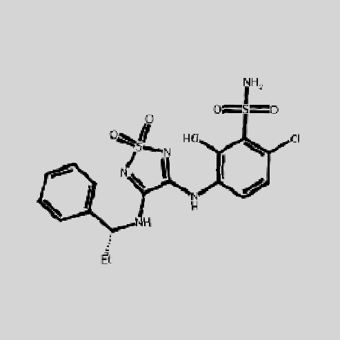 CC[C@@H](NC1=NS(=O)(=O)N=C1Nc1ccc(Cl)c(S(N)(=O)=O)c1O)c1ccccc1